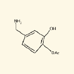 CC(=O)Oc1ccc(CN)cc1O